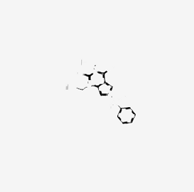 CC(C)Cn1c(=O)n(C)c(=O)c2cn(S(=O)(=O)c3ccccc3)cc21